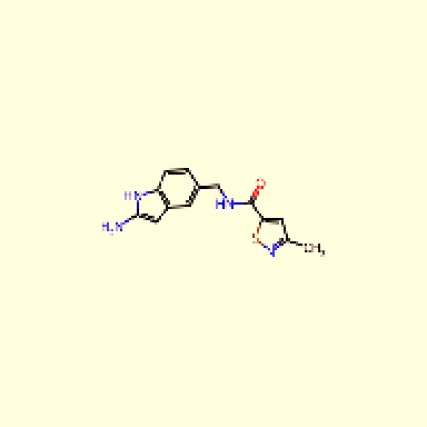 Cc1cc(C(=O)NCc2ccc3[nH]c(N)cc3c2)sn1